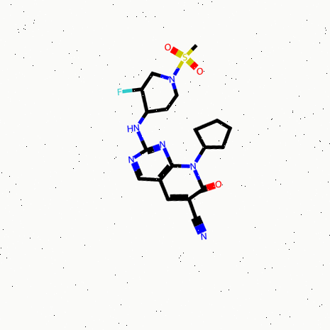 CS(=O)(=O)N1CCC(Nc2ncc3cc(C#N)c(=O)n(C4CCCC4)c3n2)C(F)C1